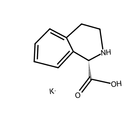 O=C(O)[C@H]1NCCc2ccccc21.[K]